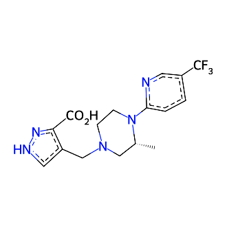 C[C@@H]1CN(Cc2c[nH]nc2C(=O)O)CCN1c1ccc(C(F)(F)F)cn1